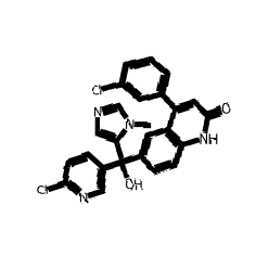 Cn1cncc1C(O)(c1ccc(Cl)nc1)c1ccc2[nH]c(=O)cc(-c3cccc(Cl)c3)c2c1